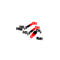 C=O.O=S(=O)(O)O.O=S(=O)(O)O.[NaH].[NaH]